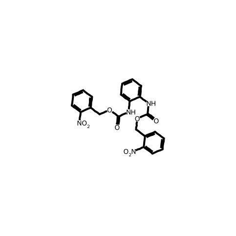 O=C(Nc1ccccc1NC(=O)OCc1ccccc1[N+](=O)[O-])OCc1ccccc1[N+](=O)[O-]